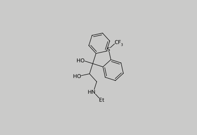 CCNCC(O)C(O)(c1ccccc1)c1ccccc1SC(F)(F)F